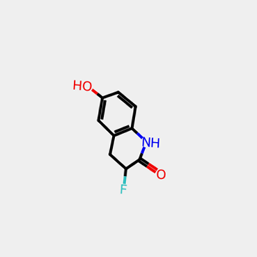 O=C1Nc2ccc(O)cc2CC1F